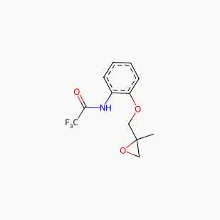 CC1(COc2ccccc2NC(=O)C(F)(F)F)CO1